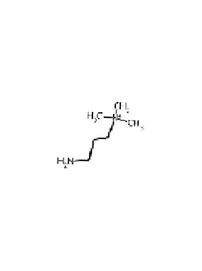 C[N+](C)(C)CCCN